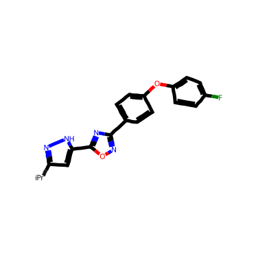 CC(C)c1cc(-c2nc(-c3ccc(Oc4ccc(F)cc4)cc3)no2)[nH]n1